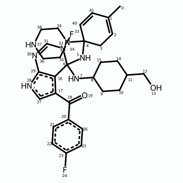 CC1=CCC(NC2(NC3CCC(CO)CC3)c3c(C(=O)c4ccc(F)cc4)c[nH]c3N=CN2F)(N2CCNCC2)C=C1